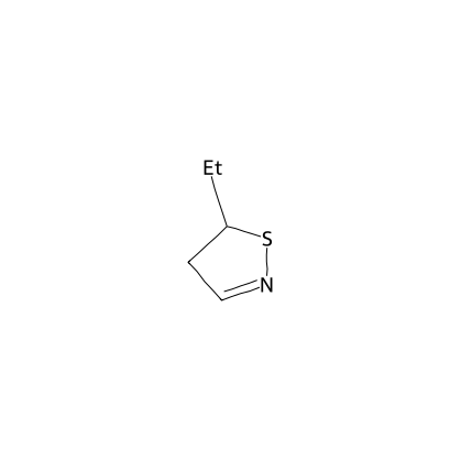 CCC1CC=NS1